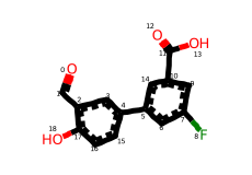 O=Cc1cc(-c2cc(F)cc(C(=O)O)c2)ccc1O